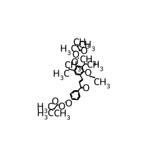 CCCOc1c(C=CC(=O)c2ccc(OCOC(=O)C(C)(C)C)cc2)cc(C(C)C)c(OCOC(=O)C(C)(C)C)c1C(C)C